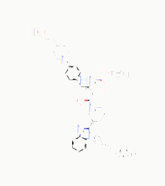 COCCCn1c([C@@H]2CCCN(C(=O)C[C@@H](Cc3ccc(N4CCC(CCO)CC4)cc3)NC(=O)OC(C)(C)C)C2)nc2ccccc21